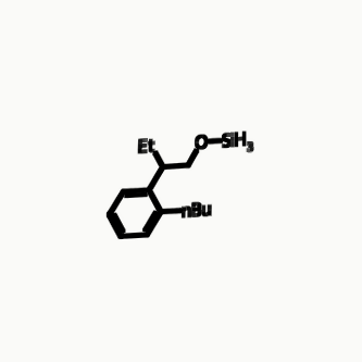 CCCCc1ccccc1C(CC)CO[SiH3]